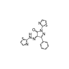 O=C1C(=NNc2nccs2)C(c2ccccc2)=NN1c1nccs1